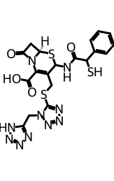 O=C(O)C1=C(CSc2nnnn2Cc2nnn[nH]2)C(NC(=O)C(S)c2ccccc2)S[C@@H]2CC(=O)N12